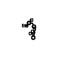 CCOc1ccc(Cl)c(CC2CCN(CC3CN(C4CCCCC4)C(=O)O3)CC2)c1